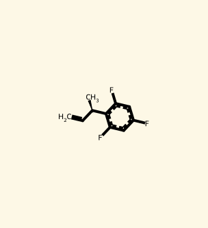 C=C[C@@H](C)c1c(F)cc(F)cc1F